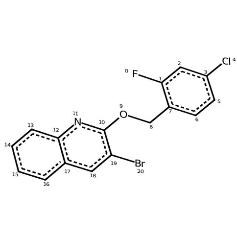 Fc1cc(Cl)ccc1COc1nc2ccccc2cc1Br